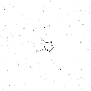 CC(C)C1=NN=NC1C